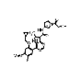 COc1cc(OCC2CC2)c(-c2ncnc3c(C(=O)N[C@@H]4CCN(C(=O)CO)C4)c(C)[nH]c23)cc1F